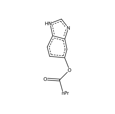 CCCC(=O)Oc1ccc2[nH]cnc2c1